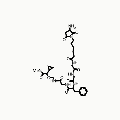 CNC(=O)C(OCNC(=O)CNC(=O)C(Cc1ccccc1)NC(=O)CNC(=O)CNC(=O)CCCCCN1C(=O)CC(N)C1=O)C1CC1